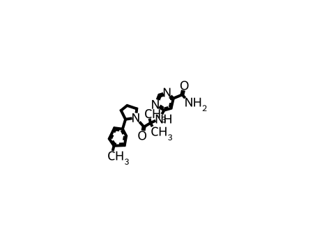 Cc1ccc(C2CCCN2C(=O)C(C)(C)Nc2cc(C(N)=O)ncn2)cc1